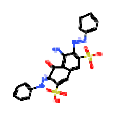 Nc1c(/N=N/c2ccccc2)c(S(=O)(=O)O)cc2c1C(=O)/C(=N/Nc1ccccc1)C(S(=O)(=O)O)=C2